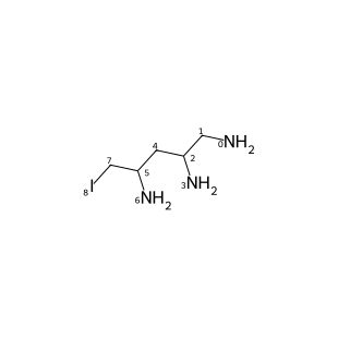 NCC(N)CC(N)CI